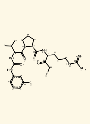 CC(C)[C@H](NC(=O)Nc1cccc(Cl)c1)C(=O)N1CCC[C@H]1C(=O)N[C@H](CCCNC(=N)N)C(=O)CF